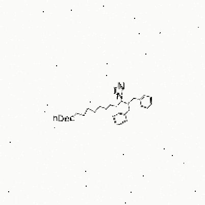 CCCCCCCCCCCCCCCCCCC(C(Cc1ccccc1)Cc1ccccc1)n1ccnc1